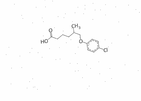 CC(CCCC(=O)O)COc1ccc(Cl)cc1